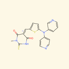 CN1C(=O)/C(=C/c2ccc(N(c3ccncc3)c3cccnc3)s2)C(=O)NC1=S